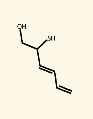 C=CC=CC(S)CO